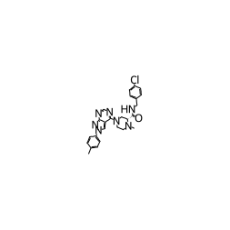 Cc1ccc(-n2cc3c(N4CCN(C)[C@@H](C(=O)NCc5ccc(Cl)cc5)C4)ncnc3n2)cc1